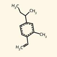 C=Cc1ccc(C(C)CC)cc1C